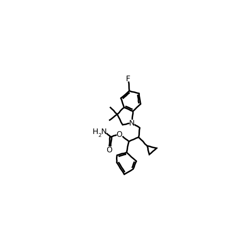 CC1(C)CN(CC(C2CC2)C(OC(N)=O)c2ccccc2)c2ccc(F)cc21